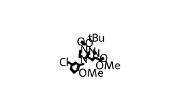 COC(=O)c1cc2c(nn1)N(C(=O)OC(C)(C)C)CCN2Cc1cc(Cl)ccc1OC